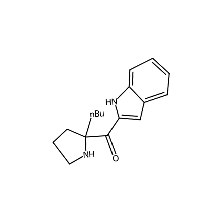 CCCCC1(C(=O)c2cc3ccccc3[nH]2)CCCN1